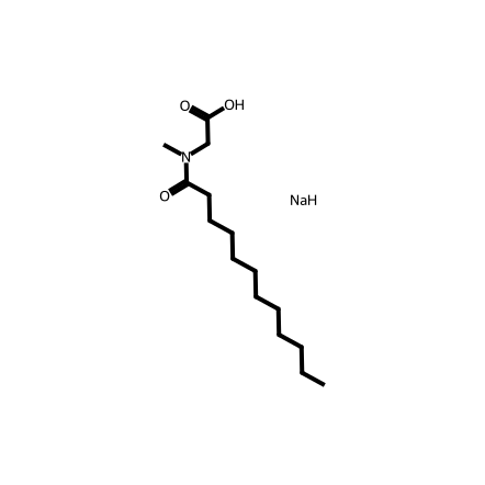 CCCCCCCCCCCC(=O)N(C)CC(=O)O.[NaH]